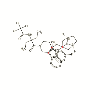 CCC(CC)(NC(=O)C(Cl)(Cl)Cl)C(=O)N1CCC(CCN2[C@@H]3CC[C@H]2CC(n2c(C)nc4ccccc42)C3)(c2cccc(F)c2)CC1